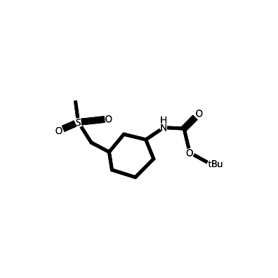 CC(C)(C)OC(=O)NC1CCCC(CS(C)(=O)=O)C1